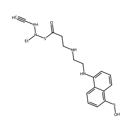 C#CPN(CC)SC(=O)CCNCCNc1cccc2c(SO)cccc12